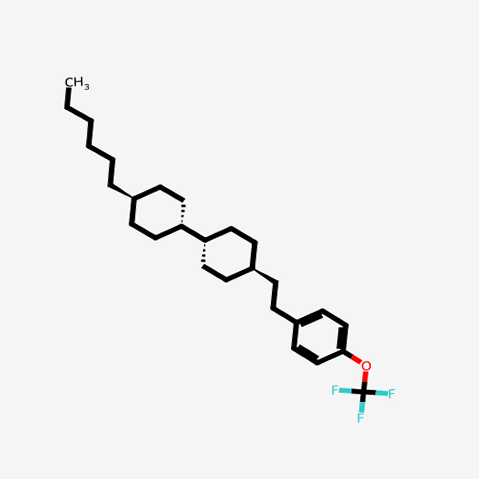 CCCCCC[C@H]1CC[C@H]([C@H]2CC[C@H](CCc3ccc(OC(F)(F)F)cc3)CC2)CC1